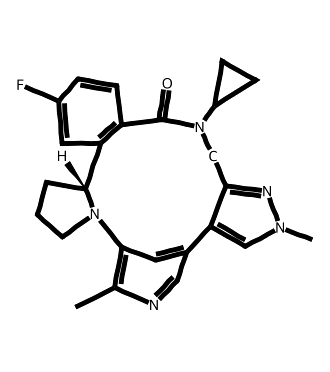 Cc1ncc2cc1N1CCC[C@@H]1c1cc(F)ccc1C(=O)N(C1CC1)Cc1nn(C)cc1-2